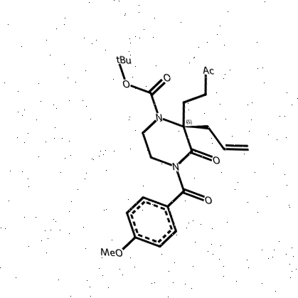 C=CC[C@@]1(CCC(C)=O)C(=O)N(C(=O)c2ccc(OC)cc2)CCN1C(=O)OC(C)(C)C